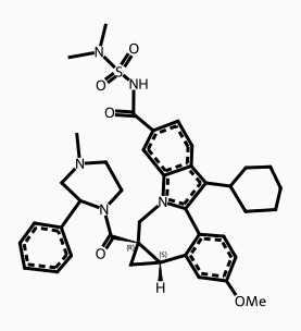 COc1ccc2c(c1)[C@@H]1C[C@]1(C(=O)N1CCN(C)CC1c1ccccc1)Cn1c-2c(C2CCCCC2)c2ccc(C(=O)NS(=O)(=O)N(C)C)cc21